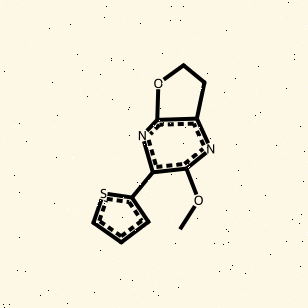 COc1nc2c(nc1-c1cccs1)OCC2